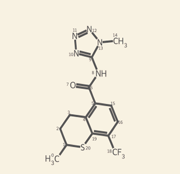 CC1CCc2c(C(=O)Nc3nnnn3C)ccc(C(F)(F)F)c2S1